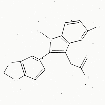 Cn1c(-c2ccc3c(c2)OCO3)c(CC(=O)O)c2cc(Br)ccc21